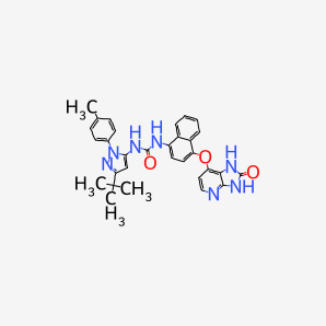 Cc1ccc(-n2nc(C(C)(C)C)cc2NC(=O)Nc2ccc(Oc3ccnc4[nH]c(=O)[nH]c34)c3ccccc23)cc1